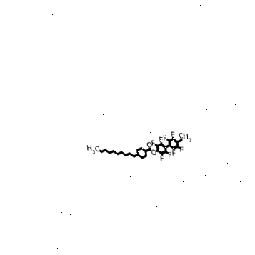 CCCCCCCCCCC1CCC(C(=O)Oc2c(F)c(F)c(-c3c(F)c(F)c(CC)c(F)c3F)c(F)c2F)CC1